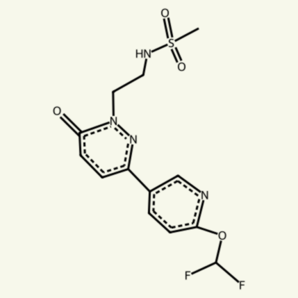 CS(=O)(=O)NCCn1nc(-c2ccc(OC(F)F)nc2)ccc1=O